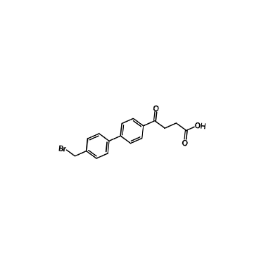 O=C(O)CCC(=O)c1ccc(-c2ccc(CBr)cc2)cc1